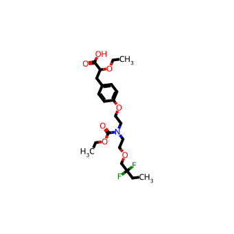 CCOC(=O)N(CCOCC(F)(F)CC)CCOc1ccc(CC(OCC)C(=O)O)cc1